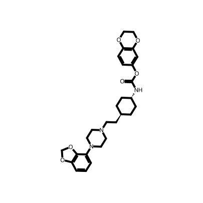 O=C(N[C@H]1CC[C@H](CCN2CCN(c3cccc4c3OCO4)CC2)CC1)Oc1ccc2c(c1)OCCO2